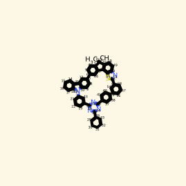 CC1(C)c2ccc(-c3ccc4c(c3)c3ccccc3n4-c3cccc(-c4nc(C5=CCCC=C5)nc(-c5ccccc5)n4)c3)cc2-c2c1ccc1nc(-c3ccccc3)sc21